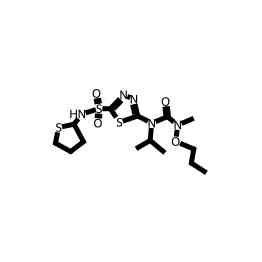 CCCON(C)C(=O)N(c1nnc(S(=O)(=O)NC2CCCS2)s1)C(C)C